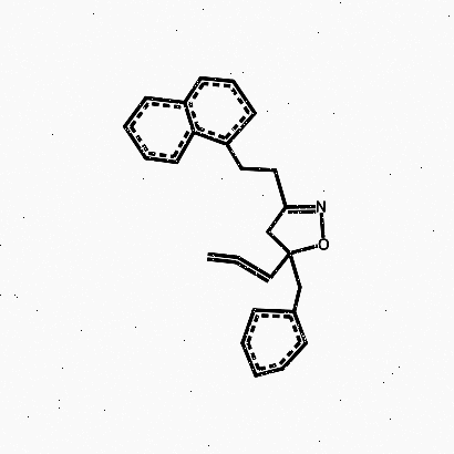 C=C=CC1(Cc2ccccc2)CC(CCc2cccc3ccccc23)=NO1